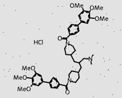 COc1cc(-c2ccc(C(=O)N3CCC(CC(CC4CCN(C(=O)c5ccc(-c6cc(OC)c(OC)c(OC)c6)cc5)CC4)CN(C)C)CC3)cc2)cc(OC)c1OC.Cl